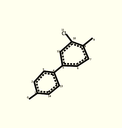 Cc1ccc(-c2ccc(C)c(Cl)c2)cc1